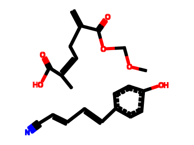 C=C(CC=C(C)C(=O)O)C(=O)OCOC.N#CC=CC=Cc1ccc(O)cc1